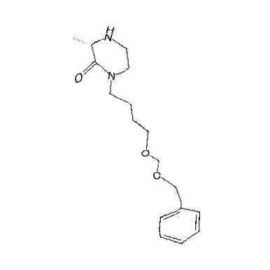 C[C@@H]1NCCN(CCCCOCOCc2ccccc2)C1=O